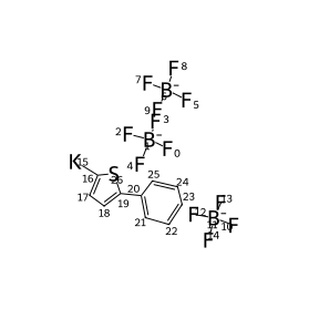 F[B-](F)(F)F.F[B-](F)(F)F.F[B-](F)(F)F.[K][c]1ccc(-c2ccccc2)s1